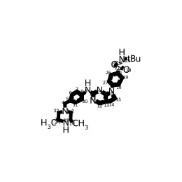 CC1CN(Cc2ccc(Nc3ncc4ccn(-c5ccc(S(=O)(=O)NC(C)(C)C)cc5)c4n3)cc2)CC(C)N1